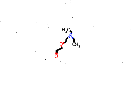 CCN(CC)CCOC[C]=O